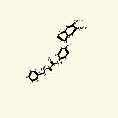 COc1cc2nccc(Oc3ccc(NC(=O)C(=O)NCc4ccccc4)cc3)c2cc1OC